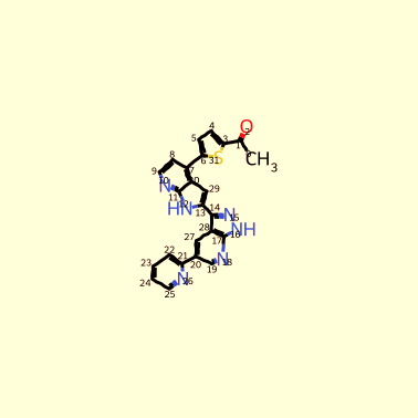 CC(=O)c1ccc(-c2ccnc3[nH]c(-c4n[nH]c5ncc(-c6ccccn6)cc45)cc23)s1